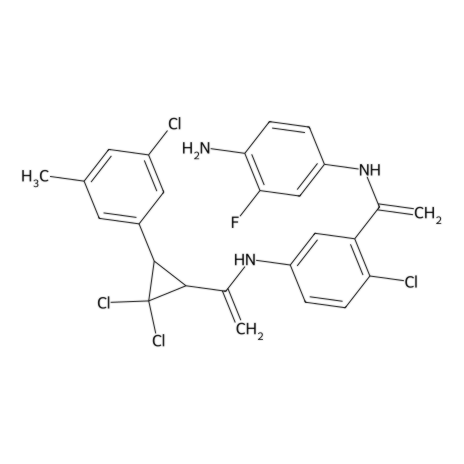 C=C(Nc1ccc(N)c(F)c1)c1cc(NC(=C)C2C(c3cc(C)cc(Cl)c3)C2(Cl)Cl)ccc1Cl